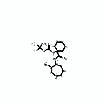 CC(C)(C)OC(=O)NC1(C(=O)NC2CCCNCC2O)CCCCC1